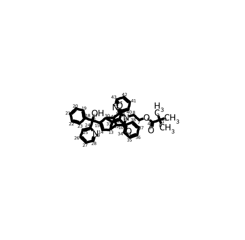 CC(C)(C)C(=O)OCCN1C(=O)C2C3C=C(C(O)(c4ccccc4)c4ccccn4)C(C3=C(c3ccccc3)c3ccccn3)C2C1=O